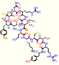 C[C@@H](O)[C@H](N)C(=O)N[C@@H](Cc1ccc(O)cc1)C(=O)N[C@H](C(=O)N[C@@H](CC(N)=O)C(=O)N[C@@H](CCCNC(=N)N)C(=O)N[C@@H](CCN)C(=O)N[C@H](C(=O)N[C@H](CCN)C(=O)N[C@@H](CCCCN)C(=O)N[C@@H](CS)C(=O)N[C@@H](CO)C(=O)N[C@@H](CCCNC(=N)N)C(=O)N[C@@H](Cc1ccc(O)cc1)C(=O)O)[C@@H](C)O)C(C)(C)S